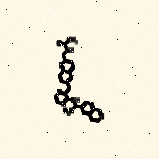 CC(=O)NCc1ccc2cc(Cc3nccnc3NC(N)c3ccc4cnccc4c3)ccc2n1